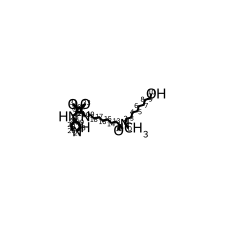 CN(CCCCCCCCO)C(=O)CCCCCCCNc1c(Nc2ccncc2)c(=O)c1=O